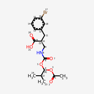 CC(=O)O[C@H](OC(=O)NC[C@H](Cc1cccc(Br)c1)C(=O)O)C(C)C